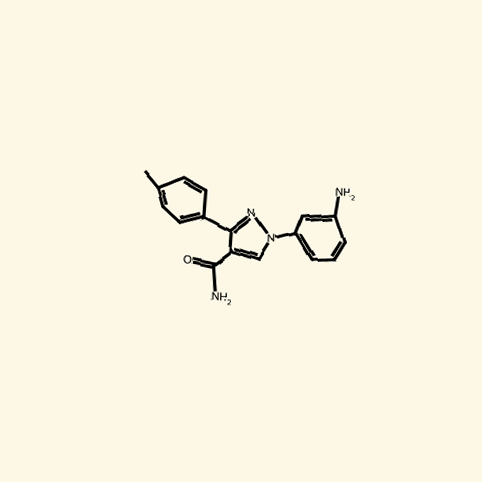 Cc1ccc(-c2nn(-c3cccc(N)c3)cc2C(N)=O)cc1